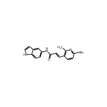 Cc1nc(C(C)(C)C)ccc1/C=C/C(=O)Nc1ccc2[nH]ccc2c1